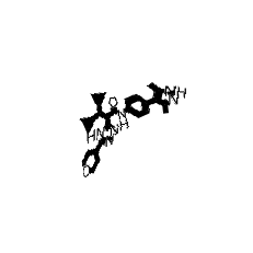 Cc1n[nH]c(C)c1-c1ccc(NC(=O)C(c2nnc(C3CCOCC3)[nH]2)C(C2CC2)C2CC2)cc1